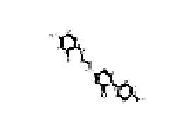 O=c1cc(OCCOc2ccc(F)cc2F)ccn1-c1ccc(F)cc1